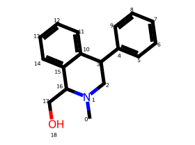 CN1CC(c2ccccc2)c2ccccc2C1CO